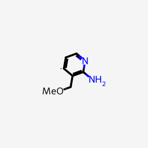 COCc1[c]ccnc1N